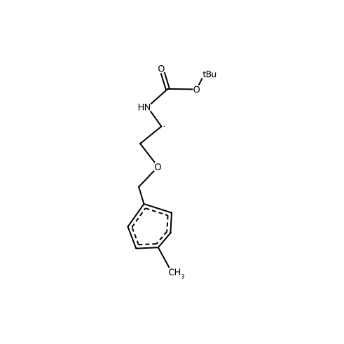 Cc1ccc(COC[CH]NC(=O)OC(C)(C)C)cc1